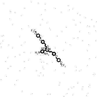 Nc1ccc(C(CC(=O)C=Cc2ccc(OCC3CCC(OCC(F)(F)F)CC3)cc2)C(O)(O)C(=O)C=Cc2ccc(OCC3CCC(OCC(F)(F)F)CC3)cc2)c(N)c1